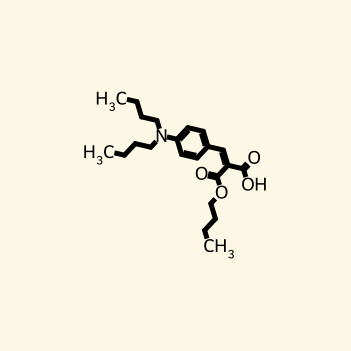 CCCCOC(=O)C(=Cc1ccc(N(CCCC)CCCC)cc1)C(=O)O